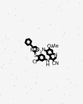 COc1cc2ncc(C#N)c(Nc3ccc(Sc4nc(-c5ccccc5)cs4)c(Cl)c3)c2cc1[N+](=O)[O-]